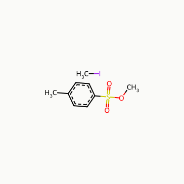 CI.COS(=O)(=O)c1ccc(C)cc1